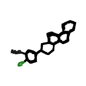 COc1cc(C2CCc3c(ccc4c3ccc3ccccc34)C2)ccc1Cl